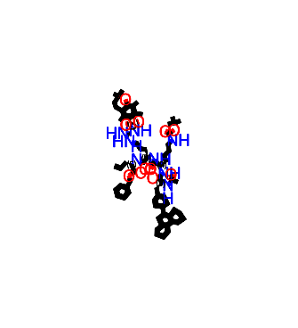 C=CC[C@H](NC(=O)[C@@H](CCCNC(=N)NS(=O)(=O)c1c(C)c(C)c2c(c1C)CCC(C)(C)O2)NC(=O)[C@@H](CCCCNC(=O)OC(C)(C)C)NC(=O)[C@H](Cc1ccc(-c2cc3ccccc3c3ccccc23)cc1)NC(C)=O)C(=O)OCc1ccccc1